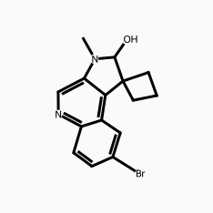 CN1c2cnc3ccc(Br)cc3c2C2(CCC2)C1O